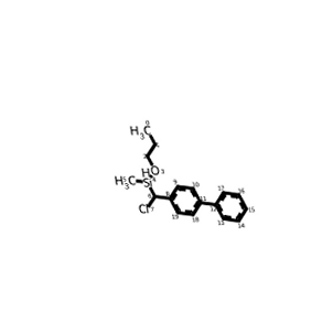 CCCO[SiH](C)C(Cl)c1ccc(-c2ccccc2)cc1